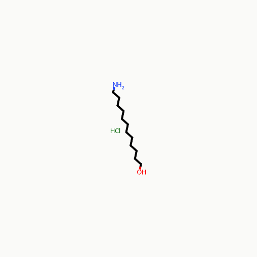 Cl.NCCCCCCCCCCCCO